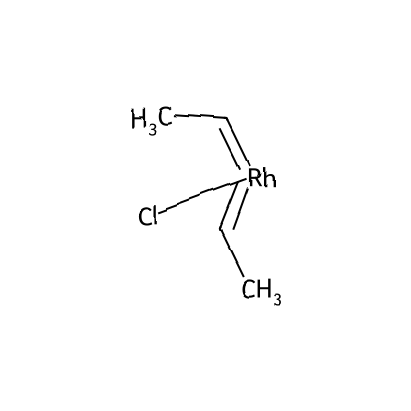 C/[CH]=[Rh](\[Cl])=[CH]/C